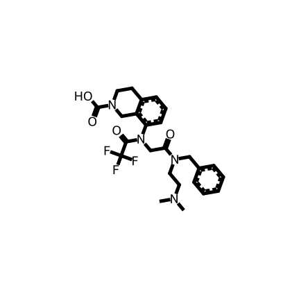 CN(C)CCN(Cc1ccccc1)C(=O)CN(C(=O)C(F)(F)F)c1cccc2c1CN(C(=O)O)CC2